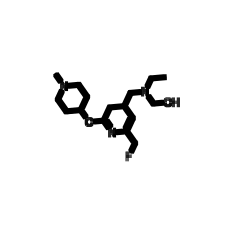 CCN(CO)CC1C=C(CF)N=C(OC2CCN(C)CC2)C1